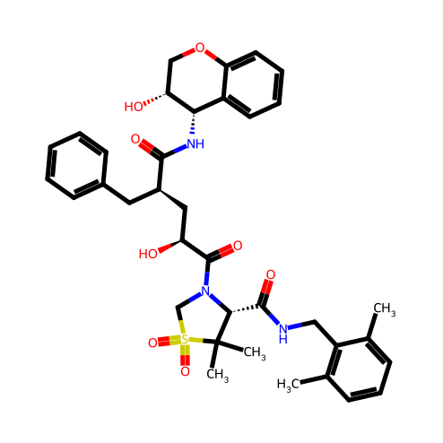 Cc1cccc(C)c1CNC(=O)[C@H]1N(C(=O)[C@@H](O)C[C@@H](Cc2ccccc2)C(=O)N[C@H]2c3ccccc3OC[C@H]2O)CS(=O)(=O)C1(C)C